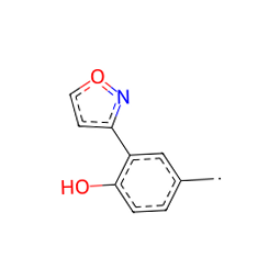 [CH2]c1ccc(O)c(-c2ccon2)c1